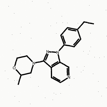 CCc1ccc(-n2nc(N3CCOC(C)C3)c3ccncc32)cc1